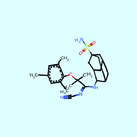 Cc1cc(C)c(OC(C)(C)/C(=N\C#N)NC2C3CC4CC2CC(S(N)(=O)=O)(C4)C3)c(C)c1